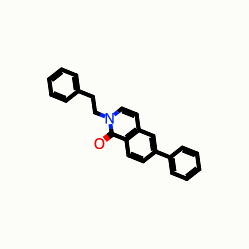 O=c1c2ccc(-c3ccccc3)cc2ccn1CCc1ccccc1